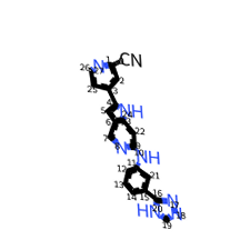 N#Cc1cc(-c2cc3cnc(Nc4cccc(-c5nnc[nH]5)c4)cc3[nH]2)ccn1